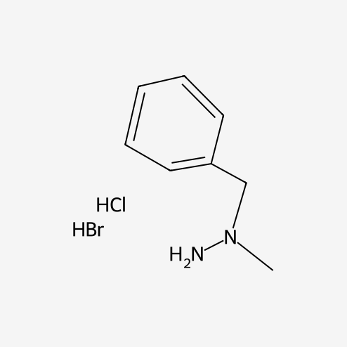 Br.CN(N)Cc1ccccc1.Cl